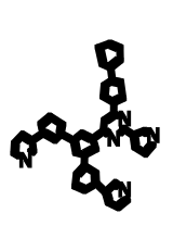 c1ccc(-c2ccc(-c3cc(-c4cc(-c5cccc(-c6cccnc6)c5)cc(-c5cccc(-c6cccnc6)c5)c4)nc(-c4cccnc4)n3)cc2)cc1